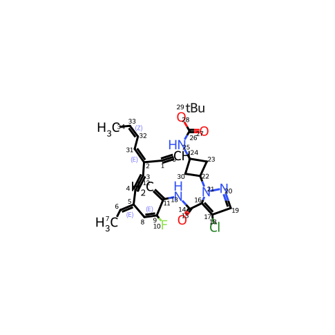 C#C/C(C#CC(=C/C)/C=C(/F)C(=C)NC(=O)c1c(Cl)cnn1C1CC(NC(=O)OC(C)(C)C)C1)=C\C=C/C